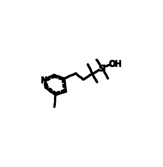 Cc1cncc(CCC(C)(C)[Si](C)(C)O)c1